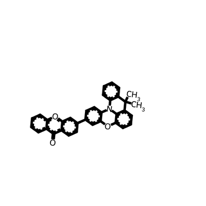 CC1(C)c2ccccc2N2c3ccc(-c4ccc5c(=O)c6ccccc6oc5c4)cc3Oc3cccc1c32